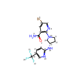 NC(=O)c1cc(Br)cnc1N1CC[C@H](Nc2ccc(C(F)(F)F)cn2)C1